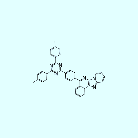 Cc1ccc(-c2nc(-c3ccc(C)cc3)nc(-c3ccc(-c4nc5c(nc6ccccn65)c5ccccc45)cc3)n2)cc1